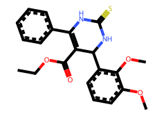 CCOC(=O)C1=C(c2ccccc2)NC(=S)NC1c1cccc(OC)c1OC